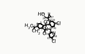 C=C(C)c1ccc2c(c1)C(=O)N(Cc1ccc(Cl)cn1)C2(OCC1(CO)CC1)c1ccc(Cl)cc1